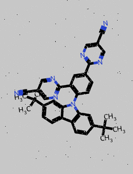 CC(C)(C)c1ccc2c3ccc(C(C)(C)C)cc3n(-c3ccc(-c4ncc(C#N)cn4)cc3-c3ncc(C#N)cn3)c2c1